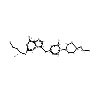 CCC[C@@H](C)Oc1nc(N)c2ncc(Cc3cnc(N4CCC(CNC)CC4)c(C)c3)n2n1